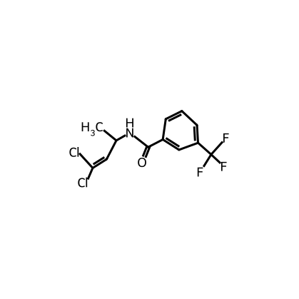 CC(C=C(Cl)Cl)NC(=O)c1cccc(C(F)(F)F)c1